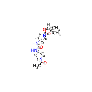 CC(=O)N1CCC(NC(=O)NC2CCN(C(=O)OC(C)(C)C)CC2)CC1